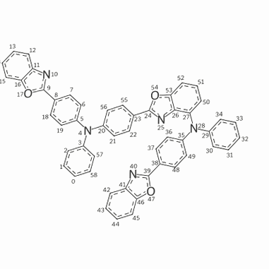 c1ccc(N(c2ccc(-c3nc4ccccc4o3)cc2)c2ccc(-c3nc4c(N(c5ccccc5)c5ccc(-c6nc7ccccc7o6)cc5)cccc4o3)cc2)cc1